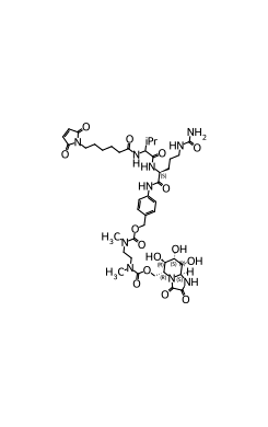 CC(C)C(NC(=O)CCCCCN1C(=O)C=CC1=O)C(=O)N[C@@H](CCCNC(N)=O)C(=O)Nc1ccc(COC(=O)N(C)CCN(C)C(=O)OC[C@@H]2[C@@H](O)[C@H](O)[C@H](O)[C@H]3NC(=O)C(=O)N23)cc1